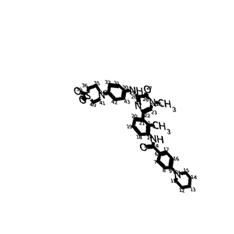 Cc1c(NC(=O)c2ccc(N3CCCCC3)cc2)cccc1-c1cn(C)c(=O)c(Nc2ccc(N3CCS(=O)(=O)CC3)cc2)n1